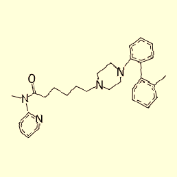 Cc1ccccc1-c1ccccc1N1CCN(CCCCCC(=O)N(C)c2ccccn2)CC1